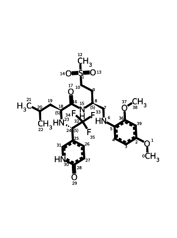 COc1ccc(NC[C@H](CCS(C)(=O)=O)NC(=O)[C@H](CC(C)C)N[C@@H](c2ccc(=O)[nH]c2)C(F)(F)F)c(OC)c1